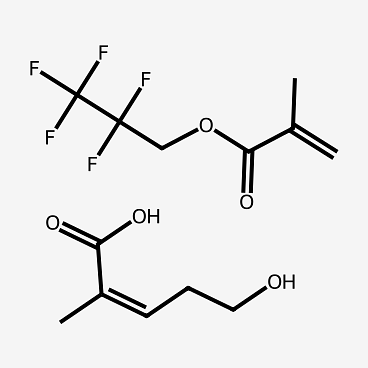 C=C(C)C(=O)OCC(F)(F)C(F)(F)F.CC(=CCCO)C(=O)O